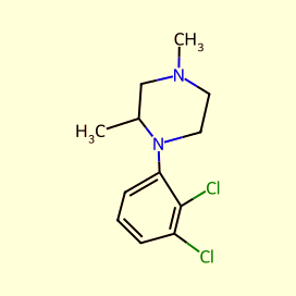 CC1CN(C)CCN1c1cccc(Cl)c1Cl